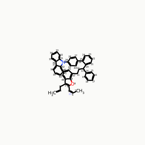 C=CCc1c(/C=C\C)oc2c(CCC(c3ccccc3)c3ccccc3-c3ccc(-n4c5ccccc5c5ccccc54)cc3)cccc12